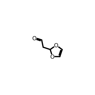 O=CCC1OC=CO1